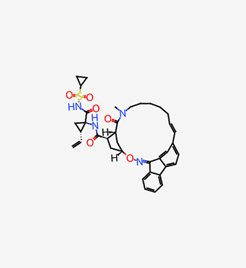 C=C[C@@H]1C[C@]1(NC(=O)[C@@H]1C[C@@H]2C[C@H]1C(=O)N(C)CCCCC/C=C/c1ccc3c(c1)/C(=N\O2)c1ccccc1-3)C(=O)NS(=O)(=O)C1CC1